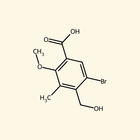 COc1c(C(=O)O)cc(Br)c(CO)c1C